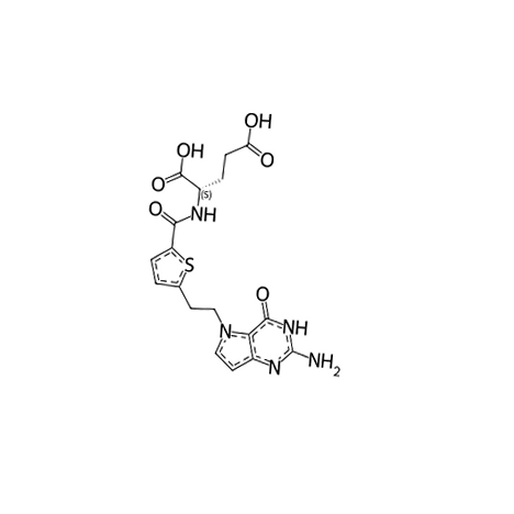 Nc1nc2ccn(CCc3ccc(C(=O)N[C@@H](CCC(=O)O)C(=O)O)s3)c2c(=O)[nH]1